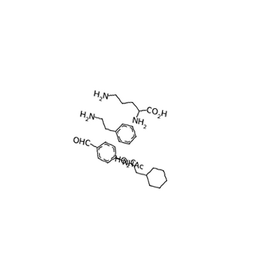 CC(=O)Nc1ccc(C=O)cc1.NCCCC(N)C(=O)O.NCCc1ccccc1.O=C(O)CC1CCCCC1